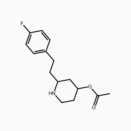 CC(=O)OC1CCNC(CCc2ccc(F)cc2)C1